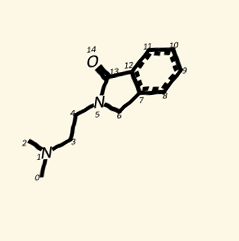 CN(C)CCN1Cc2ccccc2C1=O